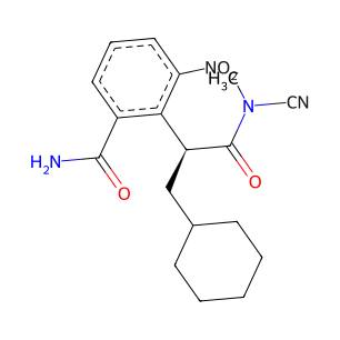 CN(C#N)C(=O)[C@@H](CC1CCCCC1)c1c(C(N)=O)cccc1[N+](=O)[O-]